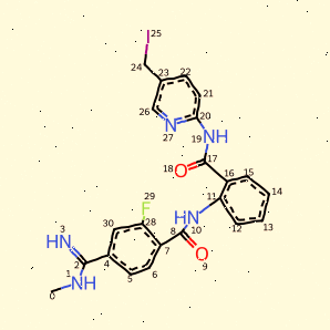 CNC(=N)c1ccc(C(=O)Nc2ccccc2C(=O)Nc2ccc(CI)cn2)c(F)c1